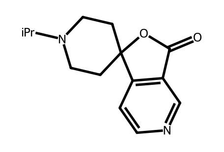 CC(C)N1CCC2(CC1)OC(=O)c1cnccc12